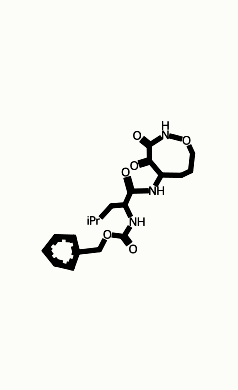 CC(C)CC(NC(=O)OCc1ccccc1)C(=O)NC1CCCONC(=O)C1=O